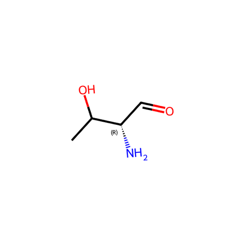 CC(O)[C@@H](N)C=O